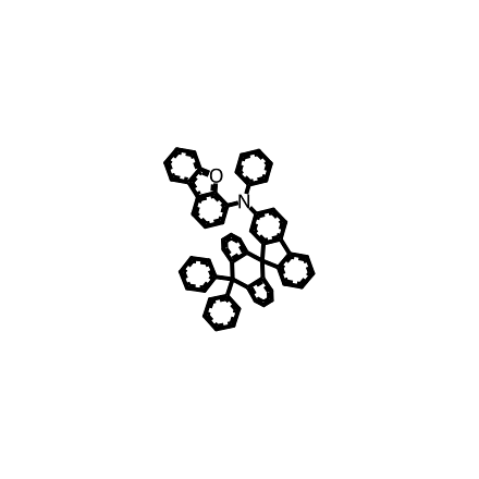 c1ccc(N(c2ccc3c(c2)C2(c4ccccc4-3)c3ccccc3C(c3ccccc3)(c3ccccc3)c3ccccc32)c2cccc3c2oc2ccccc23)cc1